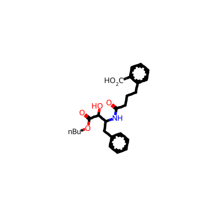 CCCCOC(=O)C(O)C(Cc1ccccc1)NC(=O)CCCc1ccccc1C(=O)O